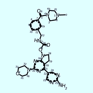 CN1CCN(C(=O)c2cccc(CNC(=O)ON3CCc4c(-c5cnc(N)nc5)nc(N5CCOCC5)nc43)c2)CC1